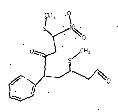 CSC(CC=O)CC(C(=O)CC(SC)[N+](=O)[O-])c1ccccc1